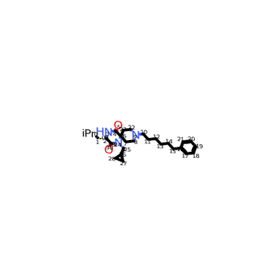 CC(C)C[C@@H]1NC(=O)C2(CCN(CCCCCCc3ccccc3)CC2)N(CC2CC2)C1=O